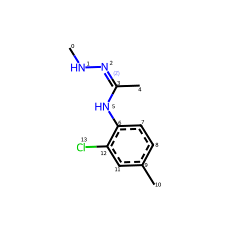 CN/N=C(/C)Nc1ccc(C)cc1Cl